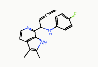 C=C=CC(Nc1ccc(F)cc1)c1nccc2c(C)c(C)[nH]c12